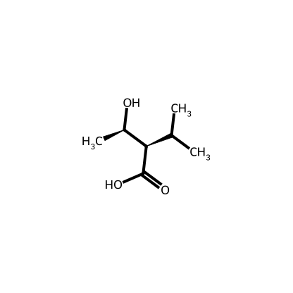 CC(C)[C@@H](C(=O)O)[C@@H](C)O